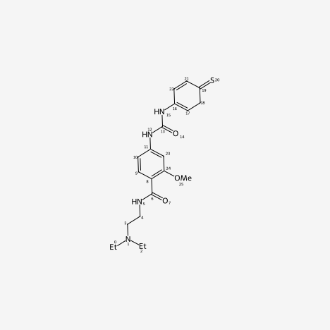 CCN(CC)CCNC(=O)c1ccc(NC(=O)NC2=CCC(=S)C=C2)cc1OC